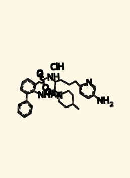 CC(=O)Nc1c(-c2ccccc2)cccc1S(=O)(=O)NC(CCCc1ccc(N)cn1)C(=O)N1CCC(C)CC1.Cl